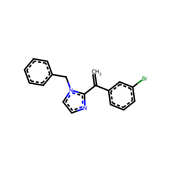 C=C(c1cccc(Br)c1)c1nccn1Cc1ccccc1